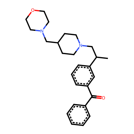 CC(CN1CCC(CN2CCOCC2)CC1)c1cccc(C(=O)c2ccccc2)c1